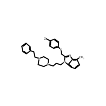 Cc1cccc2c1nc(COc1ccc(Cl)cc1)n2CCCN1CCN(CCc2ccccc2)CC1